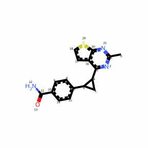 Cc1nc(C2CC2c2ccc(C(N)=O)cc2)c2ccsc2n1